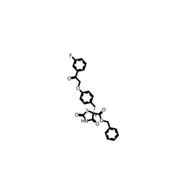 O=C1NC(=O)[C@](Cc2ccc(OCC(=O)c3cccc(F)c3)cc2)(C(=O)OCc2ccccc2)S1